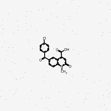 Cn1c(=O)cc(C(=O)O)c2cc(C(=O)c3ccc(Cl)cc3)ccc21